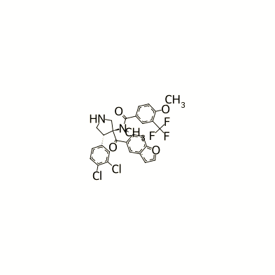 COc1ccc(C(=O)N(C)[C@]2(C(=O)c3ccc4occc4c3)CNC[C@H]2c2ccc(Cl)c(Cl)c2)cc1C(F)(F)F